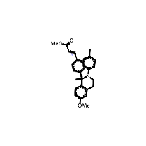 COC(=O)/C=C/c1ccc(C2(C)c3ccc(OC)cc3CCN2c2ccc(C)cc2)cc1